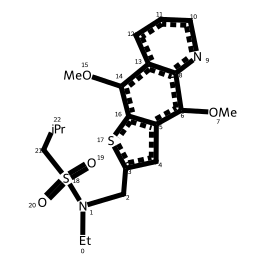 CCN(Cc1cc2c(OC)c3ncccc3c(OC)c2s1)S(=O)(=O)CC(C)C